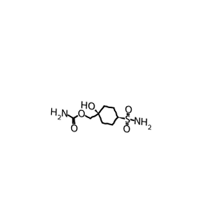 NC(=O)OC[C@]1(O)CC[C@@H](S(N)(=O)=O)CC1